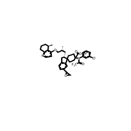 COC(=O)C1(N(C(=O)C(F)(F)F)c2cccc(Cl)c2)CCC2(CC1)c1cc(C3CO3)ccc1C[C@@H]2C[C@@H](C)COc1ccnc2c1[C@H](C)CCC2